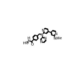 CNc1cc(-c2ccnc(N(Cc3ccc(C(=O)NO)cc3)c3cnccn3)c2)ccn1